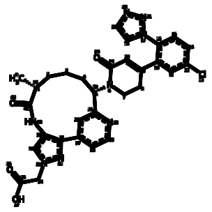 C[C@@H]1CCC[C@H](N2CCC(c3cc(Cl)ccc3-n3ccnn3)=CC2=O)c2cc(ccn2)-c2nn(CC(=O)O)cc2NC1=O